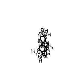 C[C@]12CC[C@H]3[C@@H](CCC4=CC(O)(CO)CC[C@@]43C)[C@@H]1CC[C@@H]2O